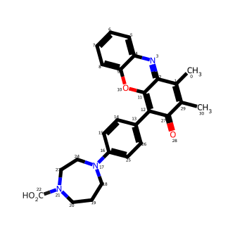 Cc1c2nc3ccccc3oc-2c(-c2ccc(N3CCCN(C(=O)O)CC3)cc2)c(=O)c1C